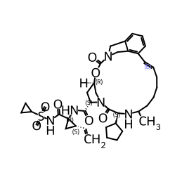 C=C[C@@H]1C[C@]1(NC(=O)[C@@H]1C[C@@H]2CN1C(=O)[C@H](C1CCCC1)NC(C)CCCC/C=C/c1cccc3c1CN(C3)C(=O)O2)C(=O)NS(=O)(=O)C1CC1